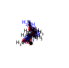 Cc1nc(C(=O)N2CCC[C@H]2N(C=O)[C@@H](CCC2CCCCC2)C(=O)N[C@@H](CC(C)C)C(=O)NC(C)(C)C(=O)N[C@@H](CC(C)C)C(=O)N[C@@H](CC(C)C)C(=O)NC(C)(C)C(=O)NC(C)(C)C(=O)NCCC(=O)NCCN)co1